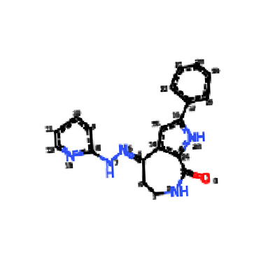 O=C1NCC/C(=N\Nc2ccccn2)c2cc(-c3ccccc3)[nH]c21